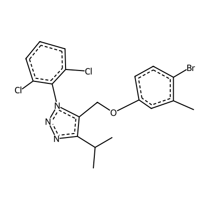 Cc1cc(OCc2c(C(C)C)nnn2-c2c(Cl)cccc2Cl)ccc1Br